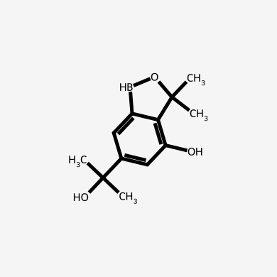 CC(C)(O)c1cc(O)c2c(c1)BOC2(C)C